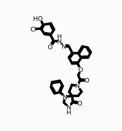 O=C(N/N=C/c1ccc(OCC(=O)N2CCC3(CC2)C(=O)NCN3c2ccccc2)c2ccccc12)c1ccc(O)c(Cl)c1